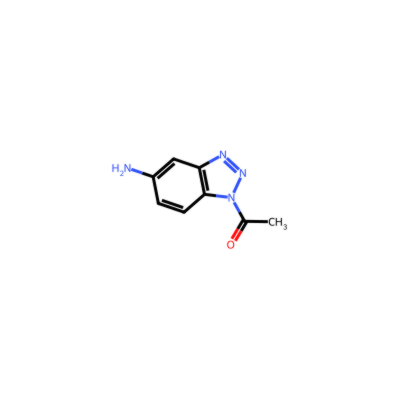 CC(=O)n1nnc2cc(N)ccc21